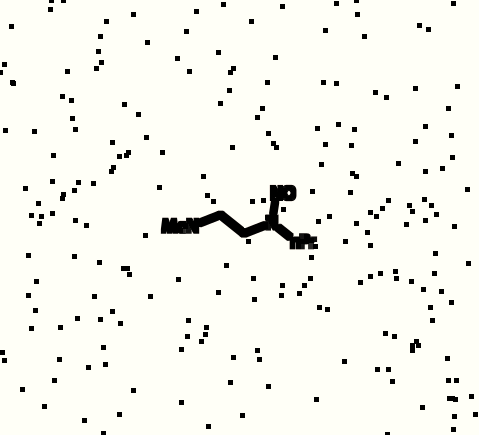 CCCN(CCNC)N=O